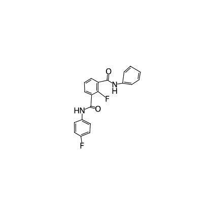 O=C(Nc1ccccc1)c1cccc(C(=O)Nc2ccc(F)cc2)c1F